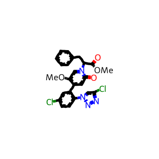 COC(=O)C(Cc1ccccc1)n1cc(OC)c(-c2cc(Cl)ccc2-n2cc(Cl)nn2)cc1=O